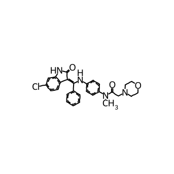 CN(C(=O)CN1CCOCC1)c1ccc(N/C(=C2\C(=O)Nc3cc(Cl)ccc32)c2ccccc2)cc1